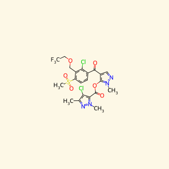 Cc1nn(C)c(C(=O)Oc2c(C(=O)c3ccc(S(C)(=O)=O)c(COCC(F)(F)F)c3Cl)cnn2C)c1Cl